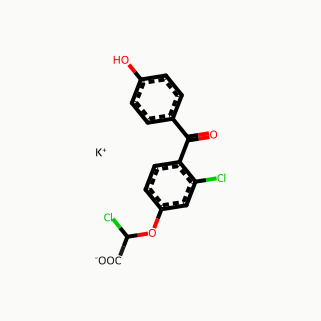 O=C(c1ccc(O)cc1)c1ccc(OC(Cl)C(=O)[O-])cc1Cl.[K+]